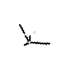 CCCCCCCCCCCCCCCC[P+](CCCCC)(CCCCC)CCCCCCCCCCCCCCCC.[Cl-]